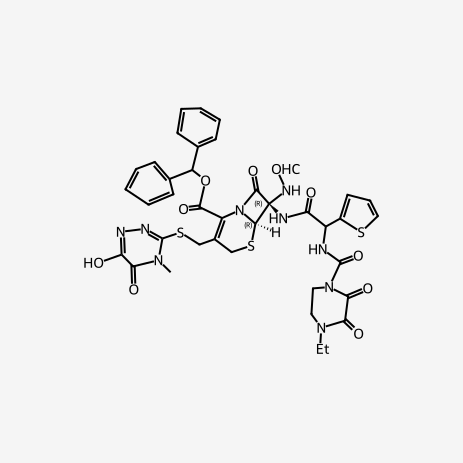 CCN1CCN(C(=O)NC(C(=O)N[C@]2(NC=O)C(=O)N3C(C(=O)OC(c4ccccc4)c4ccccc4)=C(CSc4nnc(O)c(=O)n4C)CS[C@@H]32)c2cccs2)C(=O)C1=O